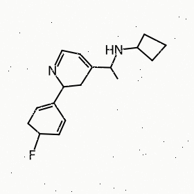 CC(NC1CCC1)C1=CC=NC(C2=CCC(F)C=C2)C1